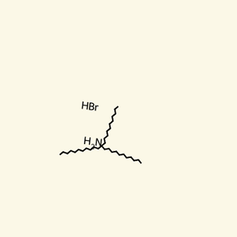 Br.CCCCCCCCCCCC(N)(CCCCCCCCCCC)CCCCCCCCCCC